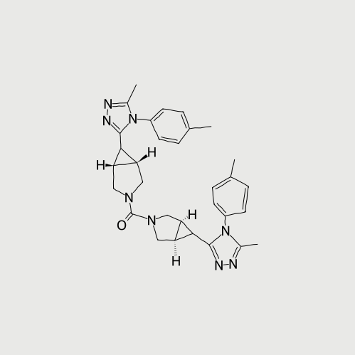 Cc1ccc(-n2c(C)nnc2C2[C@H]3CN(C(=O)N4C[C@@H]5C(c6nnc(C)n6-c6ccc(C)cc6)[C@@H]5C4)C[C@@H]23)cc1